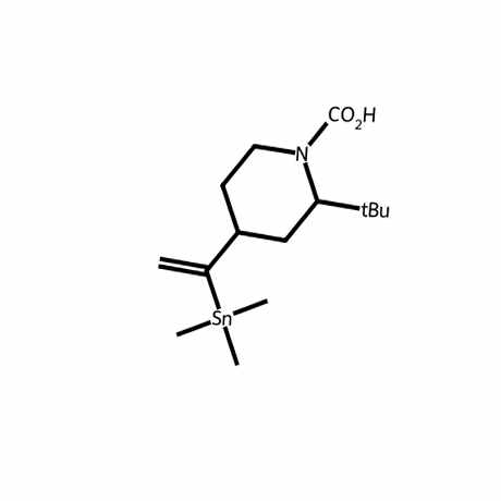 C=[C](C1CCN(C(=O)O)C(C(C)(C)C)C1)[Sn]([CH3])([CH3])[CH3]